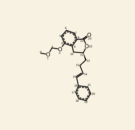 COCOc1cccc2c1C[C@H](CCC=Cc1ccccc1)OC2=O